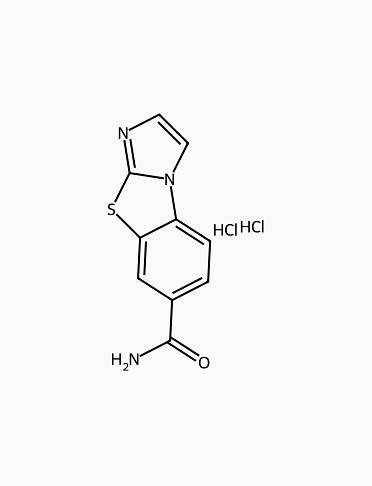 Cl.Cl.NC(=O)c1ccc2c(c1)sc1nccn12